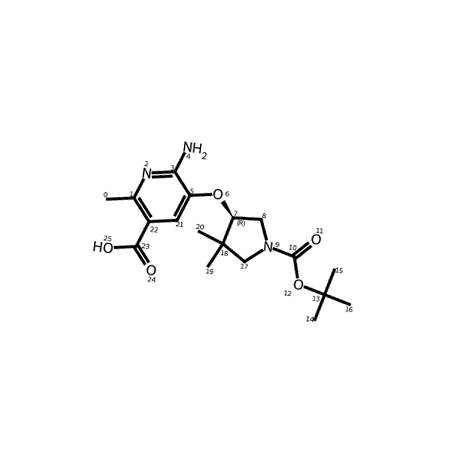 Cc1nc(N)c(O[C@H]2CN(C(=O)OC(C)(C)C)CC2(C)C)cc1C(=O)O